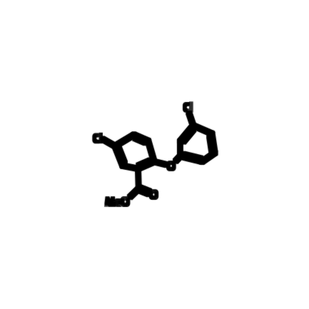 COC(=O)c1cc(Cl)ccc1Oc1cccc(Cl)c1